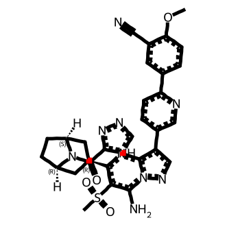 COc1ccc(-c2ccc(-c3cnn4c(N)c(S(C)(=O)=O)c([C@H]5C[C@H]6CC[C@@H](C5)N6C(=O)c5nnc[nH]5)nc34)cn2)cc1C#N